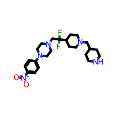 O=[N+]([O-])c1ccc(N2CCN(CC(F)(F)C3CCN(CC4CCNCC4)CC3)CC2)cc1